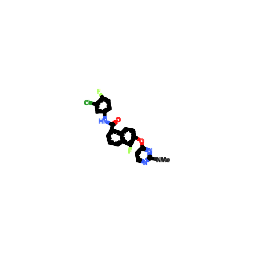 CNc1nccc(Oc2ccc3c(C(=O)Nc4ccc(F)c(Cl)c4)cccc3c2F)n1